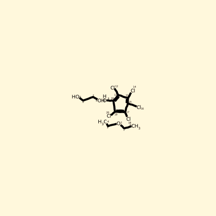 CCOCC.OCCO.Oc1c(Cl)c(Cl)c(Cl)c(Cl)c1Cl